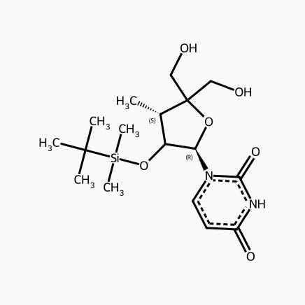 C[C@H]1C(O[Si](C)(C)C(C)(C)C)[C@H](n2ccc(=O)[nH]c2=O)OC1(CO)CO